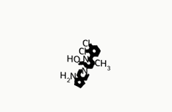 Cc1cc(N2CCC3(CCC[C@H]3N)CC2)c(CO)nc1-c1cccc(Cl)c1Cl